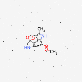 COOc1cc2c3c4c(c(C)[nH]c14)C1OC3(CN2)O1